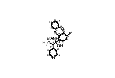 CCNC(O)(c1ccc(F)c(Oc2ccccc2)c1F)C(C)c1ccncc1